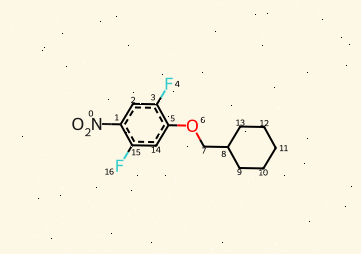 O=[N+]([O-])c1cc(F)c(OCC2CCCCC2)cc1F